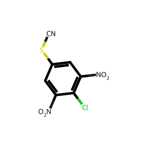 N#CSc1cc([N+](=O)[O-])c(Cl)c([N+](=O)[O-])c1